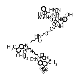 CC[N+]1=C(/C=C/C=C/C=C2/N(CCCCCC(=O)NCCOCCOCC(=O)N[C@@H](Cc3ccc(O)cc3)C(=O)N[C@@H](Cc3c[nH]cn3)C(=O)N[C@@H](Cc3c[nH]c4ccccc34)C(=O)NC)c3ccc4c(C)cc(C)cc4c3C2(C)C)C(C)(C)c2c1ccc1c(S(=O)(=O)[O-])cc(C)cc21